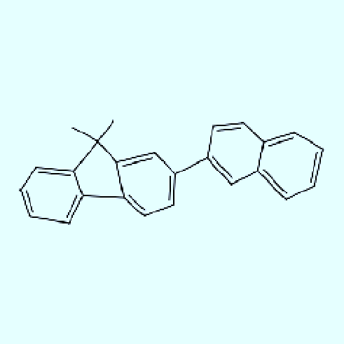 CC1(C)c2ccccc2-c2ccc(-c3ccc4ccccc4c3)cc21